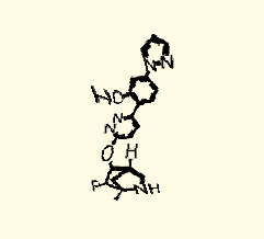 C[C@@]12C[C@@H](CN1)[C@H](Oc1ccc(-c3ccc(-n4cccn4)cc3O)nn1)[C@@H]2F